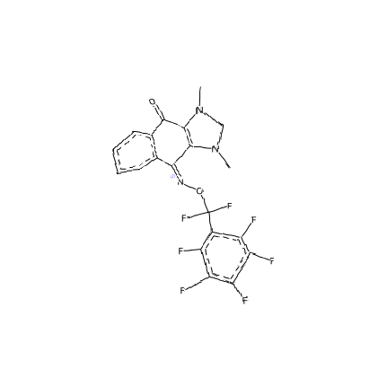 CN1CN(C)C2=C1C(=O)c1ccccc1/C2=N/OC(F)(F)c1c(F)c(F)c(F)c(F)c1F